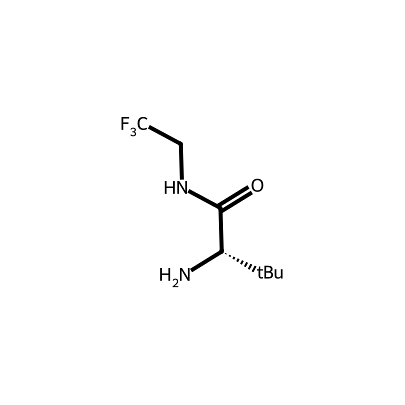 CC(C)(C)[C@H](N)C(=O)NCC(F)(F)F